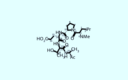 CN[C@@H](CC(C)C)C(=O)N1CCC[C@H]1C(=O)N[C@@H](CCC(=O)O)C(=O)NC(C(=O)N[C@@H](C)C(C)=O)C(C)O